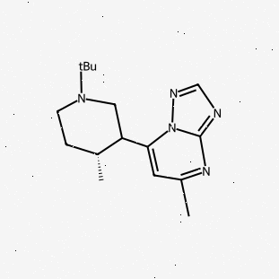 Cc1cc(C2CN(C(C)(C)C)CC[C@H]2C)n2ncnc2n1